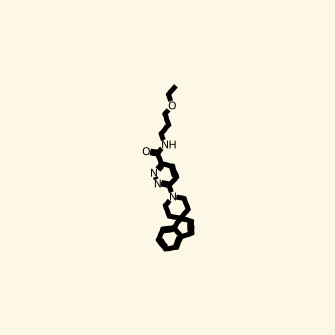 CCOCCCNC(=O)c1ccc(N2CCC3(C=Cc4ccccc43)CC2)nn1